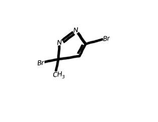 CC1(Br)C=C(Br)N=N1